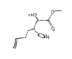 C=CCCC(O)C(O)C(=O)OC